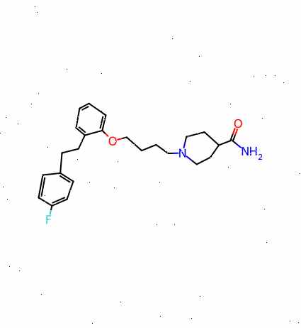 NC(=O)C1CCN(CCCCOc2ccccc2CCc2ccc(F)cc2)CC1